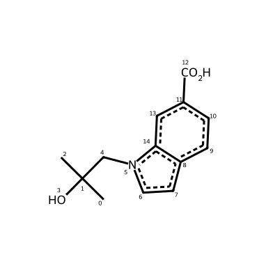 CC(C)(O)Cn1ccc2ccc(C(=O)O)cc21